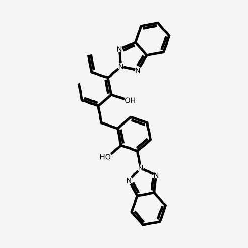 C=C/C(=C(O)\C(=C/C)Cc1cccc(-n2nc3ccccc3n2)c1O)n1nc2ccccc2n1